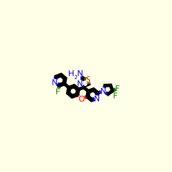 NC1=N[C@@]2(CS1)c1cc(-c3cccnc3F)ccc1Oc1cnc(N3CCC(F)(F)C3)cc12